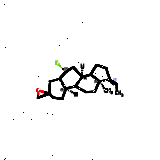 C/C=C1/CCC2[C@@H]3C[C@@H](F)C4CC5(CC[C@@H]4C3CC[C@]12C)CO5